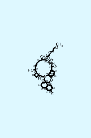 COCCOCC[C@H]1C(C)CC=CC(O)C2CC[C@H]2CN2CC3(CCCc4cc(Cl)ccc43)COc3ccc(cc32)C(=O)NS1(=O)=O